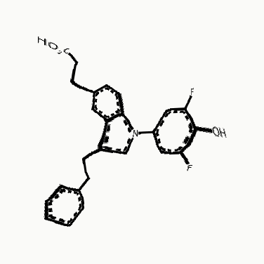 O=C(O)CCc1ccc2c(c1)c(CCc1ccccc1)cn2-c1cc(F)c(O)c(F)c1